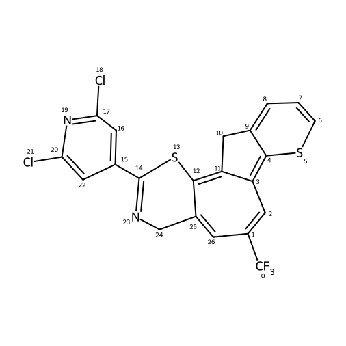 FC(F)(F)C1=CC2=C3SC=CC=C3CC2=C2SC(c3cc(Cl)nc(Cl)c3)=NCC2=C1